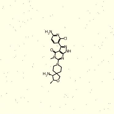 C[C@@H]1OCC2(CCN(c3nc4[nH]nc(-c5ccc(N)nc5Cl)c4c(=O)n3C)CC2)[C@@H]1N